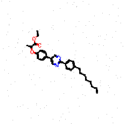 CCCCCCCCc1ccc(-c2ncc(-c3ccc(OC(C)C(=O)OCC)cc3)cn2)cc1